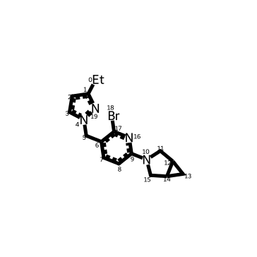 CCc1ccn(Cc2ccc(N3CC4CC4C3)nc2Br)n1